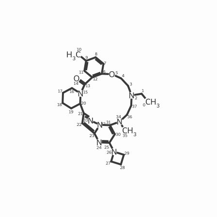 CCN1CCOc2ccc(C)cc2C(=O)N2CCCCC2c2cc3nc(N4CCC4)cc(n3n2)N(C)CC1